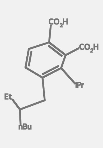 CCCCC(CC)Cc1ccc(C(=O)O)c(C(=O)O)c1C(C)C